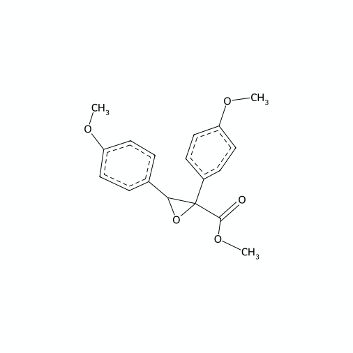 COC(=O)C1(c2ccc(OC)cc2)OC1c1ccc(OC)cc1